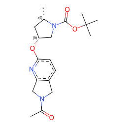 CC(=O)N1Cc2ccc(O[C@@H]3C[C@H](C)N(C(=O)OC(C)(C)C)C3)nc2C1